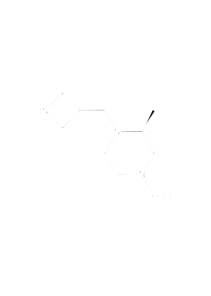 C[C@H]1CN(C(=O)O)CCN1CC1CNC1